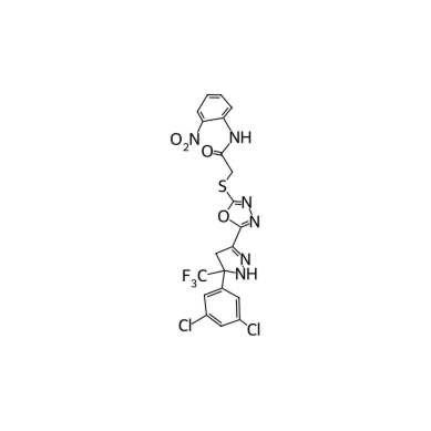 O=C(CSc1nnc(C2=NNC(c3cc(Cl)cc(Cl)c3)(C(F)(F)F)C2)o1)Nc1ccccc1[N+](=O)[O-]